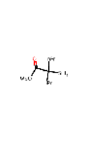 CCCC([SiH3])(C(=O)OC)C(C)C